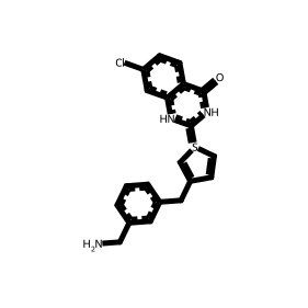 NCc1cccc(CC2=CS(=c3[nH]c(=O)c4ccc(Cl)cc4[nH]3)C=C2)c1